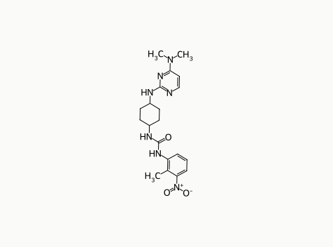 Cc1c(NC(=O)NC2CCC(Nc3nccc(N(C)C)n3)CC2)cccc1[N+](=O)[O-]